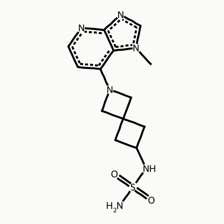 Cn1cnc2nccc(N3CC4(CC(NS(N)(=O)=O)C4)C3)c21